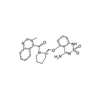 Cc1cnc2ccccc2c1C(=O)N1CCCC[C@@H]1COc1cccc2c1C(N)=NS(=O)(=O)N2